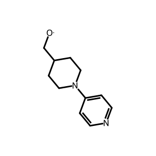 [O]CC1CCN(c2ccncc2)CC1